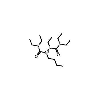 CCCC[N+](C(=O)N(CC)CC)N(CC)C(=O)N(CC)CC